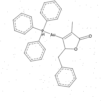 CC1=[C]([Au][PH](c2ccccc2)(c2ccccc2)c2ccccc2)C(Cc2ccccc2)OC1=O